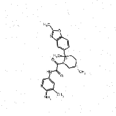 Cc1nc2cc([C@]3(C)CC[C@H](C)CN3C(=O)C(=O)Nc3cnc(N)c(C)c3)ccc2o1